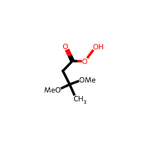 COC(C)(CC(=O)OO)OC